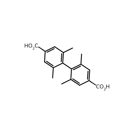 Cc1cc(C(=O)O)cc(C)c1-c1c(C)cc(C(=O)O)cc1C